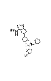 CC(C)Nc1ncnc2ccc(-c3cccc(CN(Cc4ccccc4)C(=O)c4ccc(Br)s4)c3)cc12